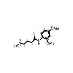 CCNCCCC(=O)Nc1ccc(OC)cc1OC